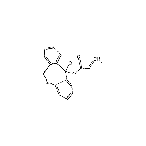 C=CC(=O)OC1(CC)c2ccccc2CSc2ccccc21